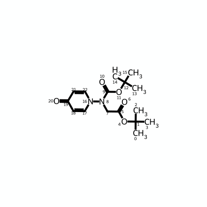 CC(C)(C)OC(=O)CN(C(=O)OC(C)(C)C)n1ccc(=O)cc1